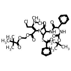 CN(C)C(CCl)=C(C(=O)OCOC(=O)C(C)(C)C)N1C(=O)C(NC(=O)[C@@H](NC(=O)OC(C)(C)C)c2ccccc2)C1SC(=O)c1ccccc1